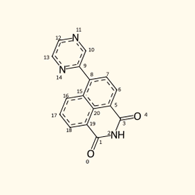 O=C1NC(=O)c2ccc(-c3cnccn3)c3cccc1c23